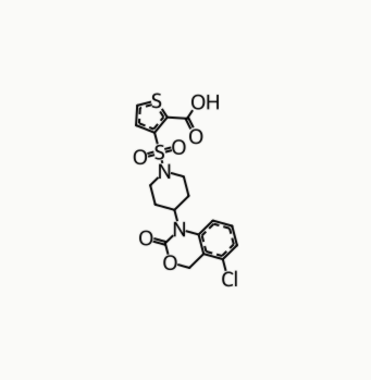 O=C(O)c1sccc1S(=O)(=O)N1CCC(N2C(=O)OCc3c(Cl)cccc32)CC1